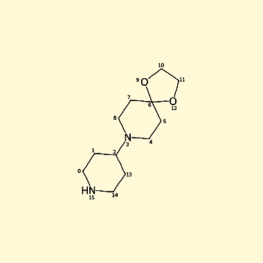 C1CC(N2CCC3(CC2)OCCO3)CCN1